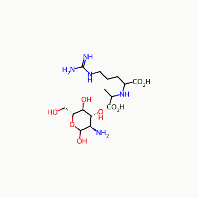 CC(NC(CCCNC(=N)N)C(=O)O)C(=O)O.N[C@H]1C(O)O[C@H](CO)[C@@H](O)[C@@H]1O